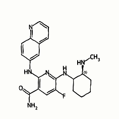 CN[C@H]1CCCCC1Nc1nc(Nc2ccc3ncccc3c2)c(C(N)=O)cc1F